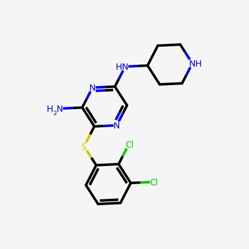 Nc1nc(NC2CCNCC2)cnc1Sc1cccc(Cl)c1Cl